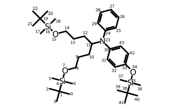 CC(C)(C)[Si](C)(C)OCCCC(CCCO[Si](C)(C)C(C)(C)C)N(c1ccccc1)c1ccc(O[Si](C)(C)C(C)(C)C)cc1